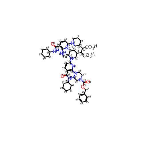 CCCNc1nc(N2CCC[C@@H](C(C(=O)O)C(C(=O)O)[C@@H]3CCCN(c4ccc(C(=O)NC5CCCCC5)c(N5CCN(C(=O)OCc6ccccc6)CC5)n4)C3)C2)ccc1C(=O)NC1CCCCC1